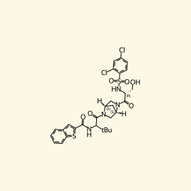 CC(C)(C)C(NC(=O)c1cc2ccccc2s1)C(=O)N1C[C@@H]2C[C@H]1CN2C(=O)[C@@H](CO)NS(=O)(=O)c1ccc(Cl)cc1Cl